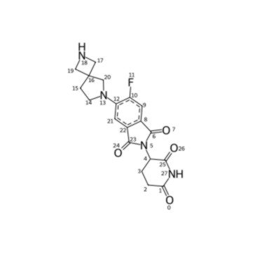 O=C1CCC(N2C(=O)c3cc(F)c(N4CCC5(CNC5)C4)cc3C2=O)C(=O)N1